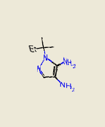 CCC(C)(C)n1ncc(N)c1N